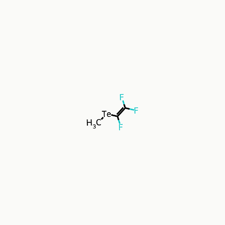 C[Te]C(F)=C(F)F